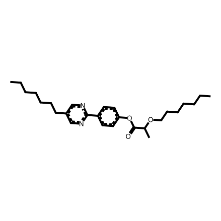 CCCCCCCOC(C)C(=O)Oc1ccc(-c2ncc(CCCCCCC)cn2)cc1